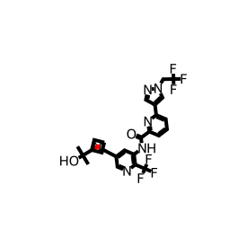 CC(C)(O)C12CC(C1)N(c1cnc(C(F)(F)F)c(NC(=O)c3cccc(-c4cnn(CC(F)(F)F)c4)n3)c1)C2